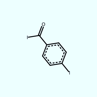 O=C(I)c1ccc(I)cc1